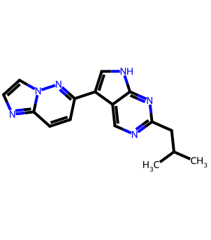 CC(C)Cc1ncc2c(-c3ccc4nccn4n3)c[nH]c2n1